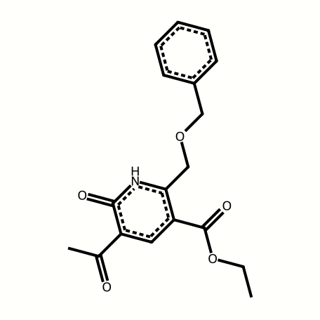 CCOC(=O)c1cc(C(C)=O)c(=O)[nH]c1COCc1ccccc1